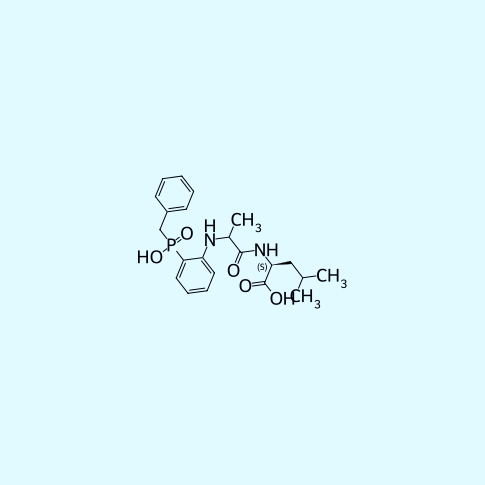 CC(C)C[C@H](NC(=O)C(C)Nc1ccccc1P(=O)(O)Cc1ccccc1)C(=O)O